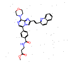 COC(=O)CCNC(=O)c1ccc(-c2cnc(N3CCOCC3)c3nc(C=Cc4ccc5ccccc5n4)cn23)cc1